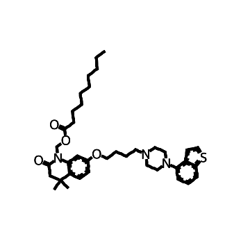 CCCCCCCCCC(=O)OCN1C(=O)CC(C)(C)c2ccc(OCCCCN3CCN(c4cccc5sccc45)CC3)cc21